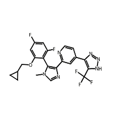 Cn1cnc(-c2cc(-c3nn[nH]c3C(F)(F)F)ccn2)c1-c1c(F)cc(F)cc1OCC1CC1